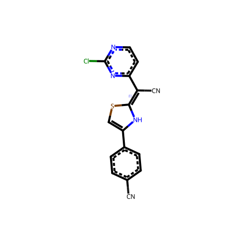 N#C/C(=C1\NC(c2ccc(C#N)cc2)=CS1)c1ccnc(Cl)n1